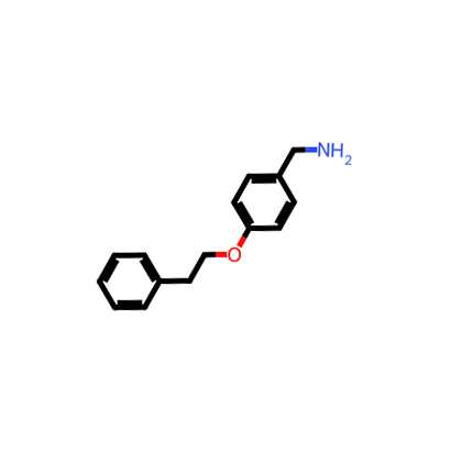 NCc1ccc(OCCc2ccccc2)cc1